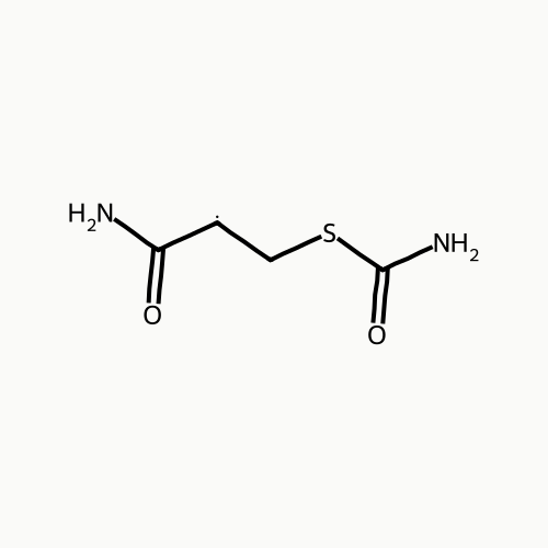 NC(=O)[CH]CSC(N)=O